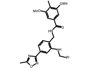 COc1cc(C(=O)NCc2ccc(-c3noc(C)n3)cc2NCC(C)C)cc(OC)c1C